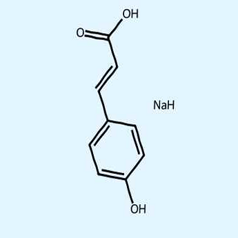 O=C(O)C=Cc1ccc(O)cc1.[NaH]